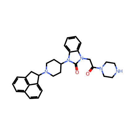 O=C(Cn1c(=O)n(C2CCN(C3Cc4cccc5cccc3c45)CC2)c2ccccc21)N1CCNCC1